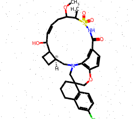 COC1CC=CC(O)C2CC[C@@H]2CN2CC3(CCCc4cc(Cl)ccc43)COc3ccc(cc32)C(=O)NS(=O)(=O)C1C